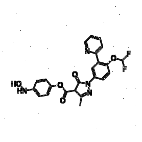 CC1=NN(c2ccc(OC(F)F)c(-c3ccccn3)c2)C(=O)C1C(=O)Oc1ccc(NO)cc1